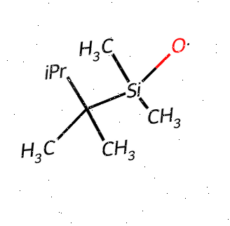 CC(C)C(C)(C)[Si](C)(C)[O]